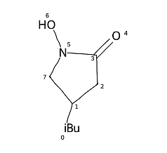 CCC(C)C1CC(=O)N(O)C1